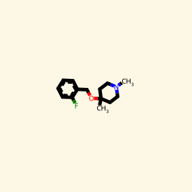 CN1CCC(C)(OCc2ccccc2F)CC1